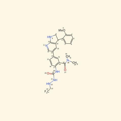 COc1ccccc1C1CNc2ncc(-c3ccc(NC(=O)NNCC(F)(F)F)c(C(=O)N(C)C)c3)cc21